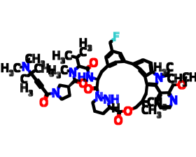 CCn1c(-c2cccnc2[C@H](C)OC)c2c3cc(ccc31)-c1cc(CF)cc(c1)C[C@H](NC(=O)C(C(C)C)N(C)C(=O)[C@H]1CCN(C(=O)C#CC(C)(C)N(C)C)C1)C(=O)N1CCC[C@H](N1)C(=O)OCC(C)(C)C2